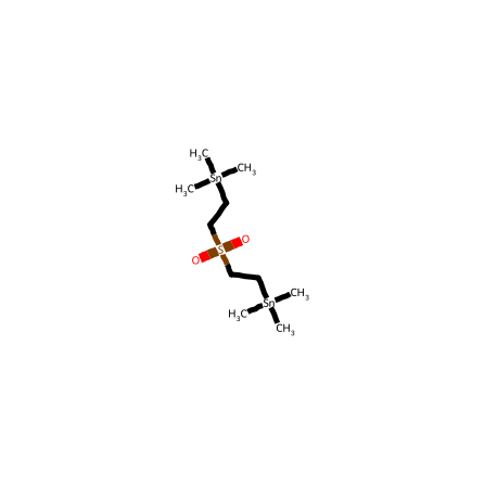 [CH3][Sn]([CH3])([CH3])[CH2]CS(=O)(=O)C[CH2][Sn]([CH3])([CH3])[CH3]